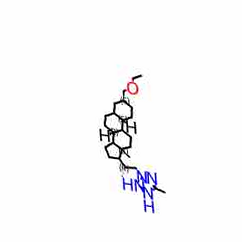 CCOC[C@H]1CC[C@H]2C(CC[C@@H]3C2CC[C@@]2(C)C3CCC2[C@@H](C)CN2N=C(C)NN2)C1